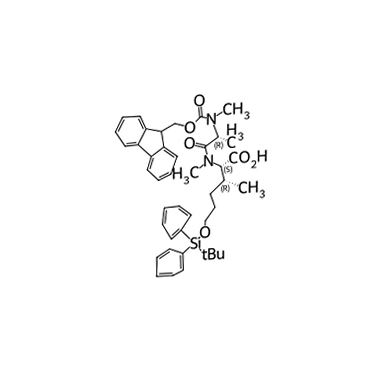 C[C@H](CCCO[Si](c1ccccc1)(c1ccccc1)C(C)(C)C)[C@@H](C(=O)O)N(C)C(=O)[C@@H](C)N(C)C(=O)OCC1c2ccccc2-c2ccccc21